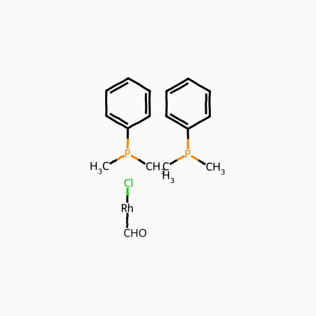 CP(C)c1ccccc1.CP(C)c1ccccc1.O=[CH][Rh][Cl]